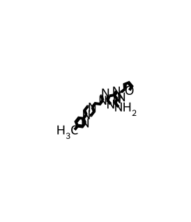 Cc1ccc(N2CCN(CCn3cnc4c3nc(N)n3nc(-c5ccco5)nc43)CC2)nc1